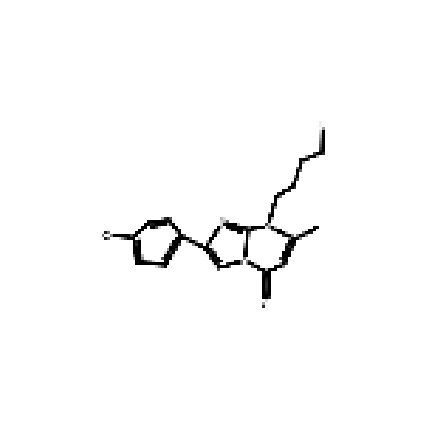 Cc1cc(=O)n2cc(-c3ccc(Cl)cc3)nc2n1CCCCF